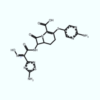 Nc1ncc(SC2=C(C(=O)O)N3C(=O)C(NC(=O)/C(=N\O)c4nsc(N)n4)C3CC2)cn1